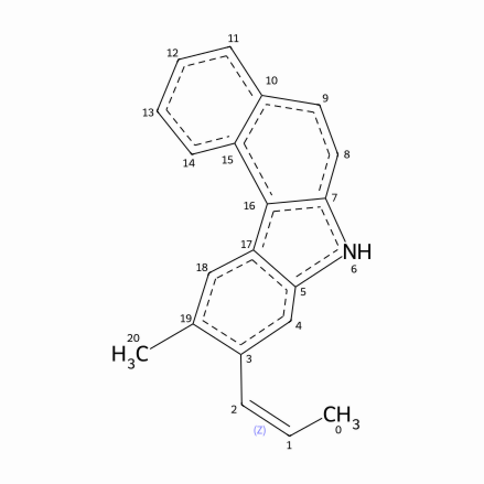 C/C=C\c1cc2[nH]c3ccc4ccccc4c3c2cc1C